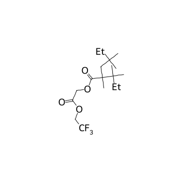 CCC(C)(C)CC(C)(C(=O)OCC(=O)OCC(F)(F)F)C(C)(C)CC